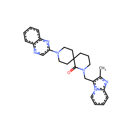 Cc1nc2ccccn2c1CN1CCCC2(CCN(c3cnc4ccccc4n3)CC2)C1=O